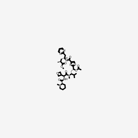 COC(=O)[C@@H](C)C[C@H](Cc1ncccn1)NC(=O)c1csc([C@@H](C[C@H](C(C)C)N(C)C(=O)[C@@H](NC(=O)[C@H]2CCCCN2C)C2COC2)OC(C)=O)n1